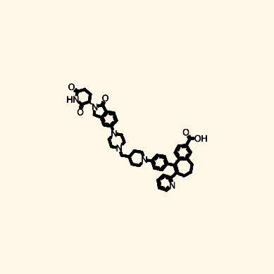 O=C1CC[C@H](N2Cc3cc(N4CCN(CC5CCN(c6ccc(C7=C(c8ccccn8)CCCc8cc(C(=O)O)ccc87)cc6)CC5)CC4)ccc3C2=O)C(=O)N1